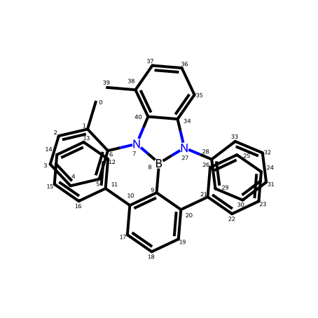 Cc1ccccc1N1B(c2c(-c3ccccc3)cccc2-c2ccccc2)N(c2ccccc2)c2cccc(C)c21